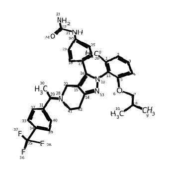 Cc1cccc(OCC(C)C)c1-n1nc2c(c1-c1ccc(NC(N)=O)cc1)CN(C(C)c1ccc(C(F)(F)F)cc1)CC2